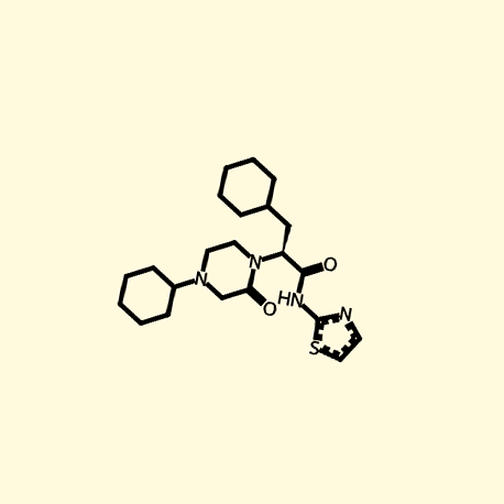 O=C(Nc1nccs1)[C@H](CC1CCCCC1)N1CCN(C2CCCCC2)CC1=O